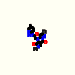 CCc1cc2n(CC(=O)Nc3ccc(C)cn3)c3c(c(=O)n2n1)CN(C(C)C)C3=O